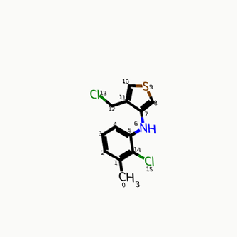 Cc1cccc(Nc2cscc2CCl)c1Cl